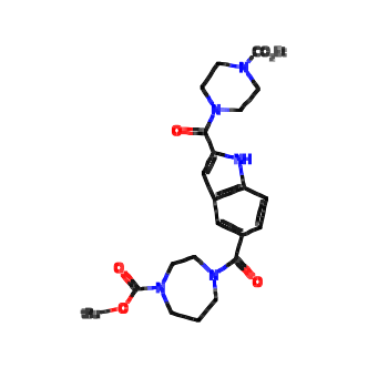 CCOC(=O)N1CCN(C(=O)c2cc3cc(C(=O)N4CCCN(C(=O)OC(C)(C)C)CC4)ccc3[nH]2)CC1